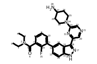 CCN(CC)C(=O)c1cccc(-c2ccc3[nH]nc(-c4cncc(N5CCC(N)CC5)n4)c3c2)c1F